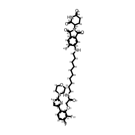 O=C(COc1c(-c2csc(N3CCOCC3)n2)ccc(F)c1F)NCCCCCCCCCCNc1cc2c(cc1F)C(=O)N(C1CCC(=O)NC1=O)C2=O